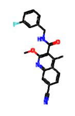 COc1nc2cc(C#N)ccc2c(C)c1C(=O)NCc1cccc(F)c1